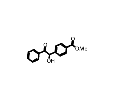 COC(=O)c1ccc(C(O)C(=O)c2ccccc2)cc1